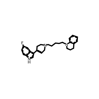 Fc1ccc2[nH]cc(C3=CCN(CCCCCN4CCCc5ccccc54)CC3)c2c1